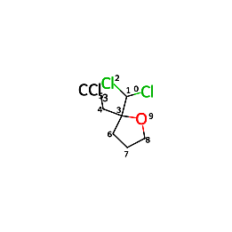 ClC(Cl)C1(CC(Cl)(Cl)Cl)CCCO1